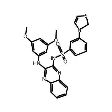 COc1cc(Nc2nc3ccccc3nc2NS(=O)(=O)c2cccc(N3C=CSC3)c2)cc(OC)c1